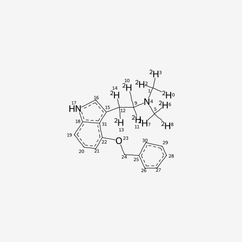 [2H]C([2H])([2H])N(C([2H])([2H])[2H])C([2H])([2H])C([2H])([2H])c1c[nH]c2cccc(OCc3ccccc3)c12